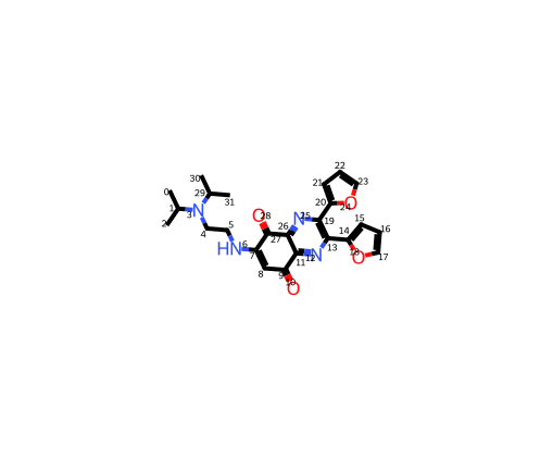 CC(C)N(CCNC1=CC(=O)c2nc(-c3ccco3)c(-c3ccco3)nc2C1=O)C(C)C